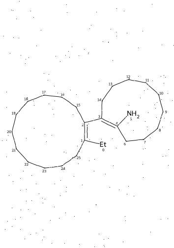 CC/C1=C(\C2=C(\N)CCCCCCCCC2)CCCCCCCCCCC1